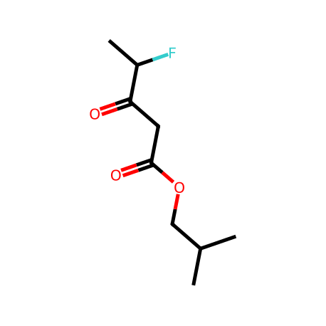 CC(C)COC(=O)CC(=O)C(C)F